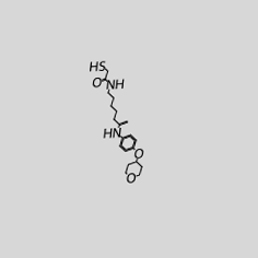 C=C(CCCCCNC(=O)CS)Nc1ccc(OC2CCOCC2)cc1